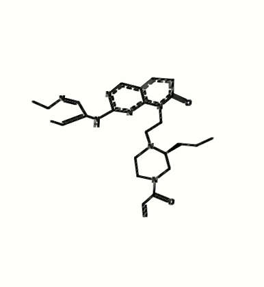 C=CC(=O)N1CCN(CCn2c(=O)ccc3cnc(NC(/C=N\CC)=C/C)nc32)[C@@H](CCC)C1